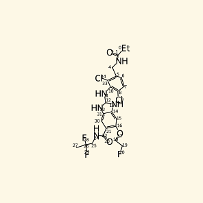 CCC(=O)NCc1ccc(Cl)c(NC2Nc3cc(OCCF)c(C(=O)NCC(C)(F)F)cc3N2)c1Cl